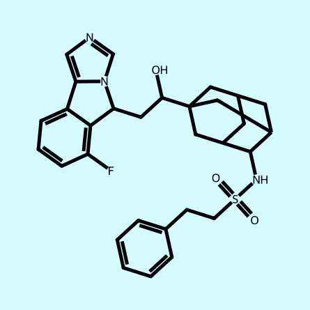 O=S(=O)(CCc1ccccc1)NC1C2CC3CC1CC(C(O)CC1c4c(F)cccc4-c4cncn41)(C3)C2